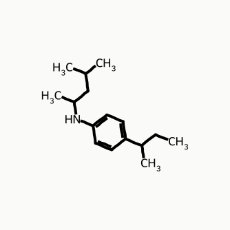 CCC(C)c1ccc(NC(C)CC(C)C)cc1